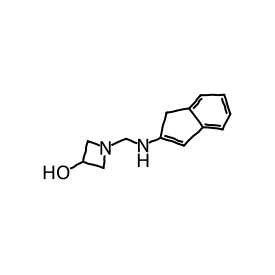 OC1CN(CNC2=Cc3ccccc3C2)C1